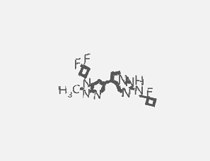 Cc1nc2ncc(-c3ccn4nc(NCC5(F)CCC5)ncc34)cc2n1C1CC(F)(F)C1